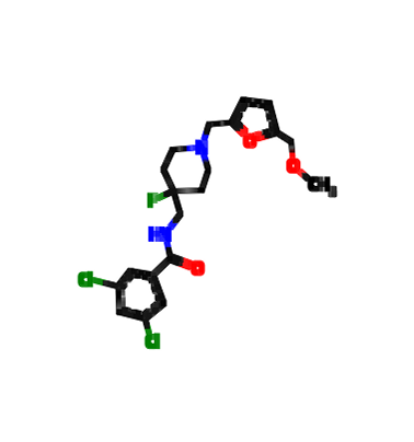 COCc1ccc(CN2CCC(F)(CNC(=O)c3cc(Cl)cc(Cl)c3)CC2)o1